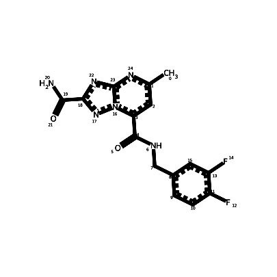 Cc1cc(C(=O)NCc2ccc(F)c(F)c2)n2nc(C(N)=O)nc2n1